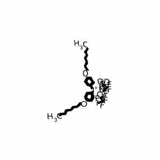 CCCCCCCCOc1ccc([I+]c2ccc(OCCCCCCCC)cc2)cc1.O=S(=O)([O-])C(F)(F)C(F)(F)OC(F)(F)C(F)(F)I